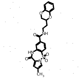 Cc1cc2n(c1)S(=O)(=O)c1ccc(C(=O)NCCC3COc4ccccc4O3)cc1NC2=O